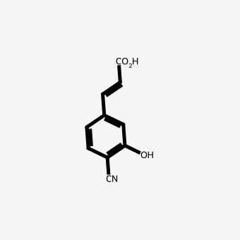 N#Cc1ccc(C=CC(=O)O)cc1O